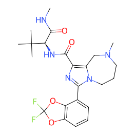 CNC(=O)[C@@H](NC(=O)c1nc(-c2cccc3c2OC(F)(F)O3)n2c1CN(C)CCC2)C(C)(C)C